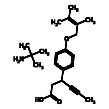 CC#CC(CC(=O)O)c1ccc(OCC(C)=C(C)C)cc1.CC(C)(C)N